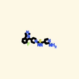 Nc1cc(-c2nnc(N3CCC(C4c5c(F)cccc5-c5cncn54)CC3)s2)ccn1